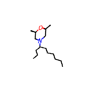 CCCCCCC(CCC)N1CC(C)OC(C)C1